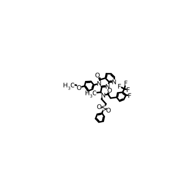 CCOc1ccc(-n2c(C(C)N(CCS(=O)(=O)c3ccccc3)C(=O)Cc3ccc(F)c(C(F)(F)F)c3)nc3ncccc3c2=O)cc1